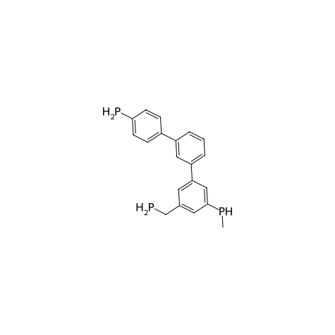 CPc1cc(CP)cc(-c2cccc(-c3ccc(P)cc3)c2)c1